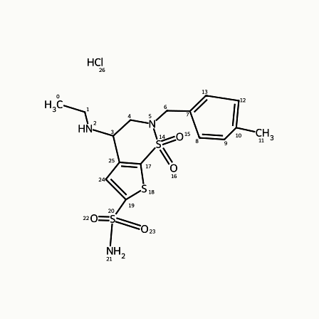 CCNC1CN(Cc2ccc(C)cc2)S(=O)(=O)c2sc(S(N)(=O)=O)cc21.Cl